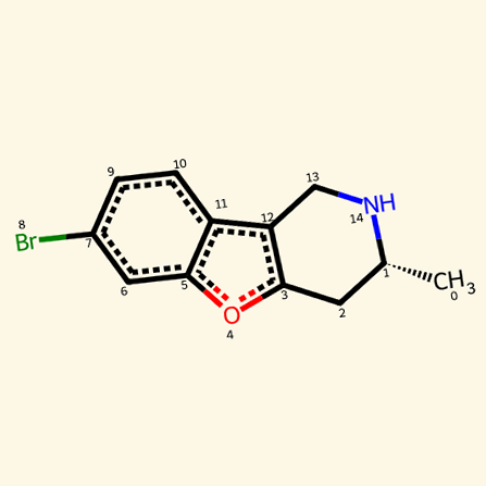 C[C@@H]1Cc2oc3cc(Br)ccc3c2CN1